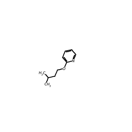 CC(C)CCOc1ccccn1